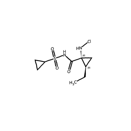 CC[C@@H]1C[C@]1(NCl)C(=O)NS(=O)(=O)C1CC1